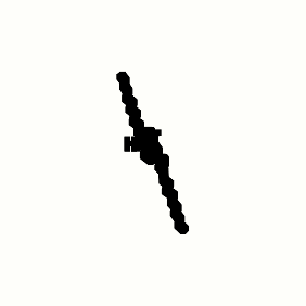 CCCCCCCCCCCCOc1ccc(NC(Br)CCCCCCCCCCC)cc1